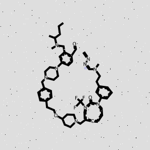 C=N/N=C\N(C)CCc1cccc(-n2ccccc(CN3CCC(OCCc4ccc(CN5CCN(c6ccc(C=O)c(CN(C)C(C)CCC)c6)CC5)cc4)CC3)cn(C(F)(F)F)c2=O)c1